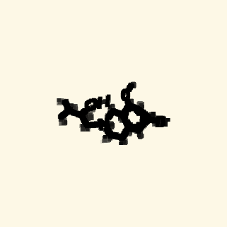 COc1cc(Br)cc2c1CN(CC(O)C(C)C)CC2